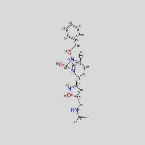 C=C(C)NCc1cc([C@@H]2CC[C@@H]3CN2C(=O)N3OCc2ccccc2)no1